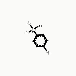 Nc1ccc([AsH](O)(O)O)cc1